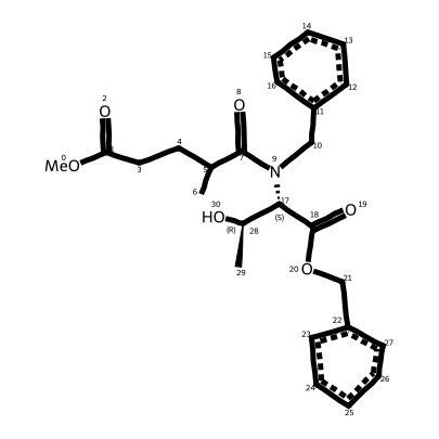 COC(=O)CCC(C)C(=O)N(Cc1ccccc1)[C@H](C(=O)OCc1ccccc1)[C@@H](C)O